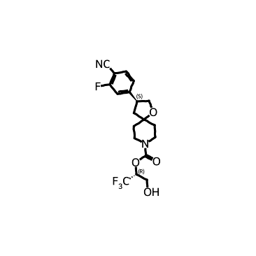 N#Cc1ccc([C@H]2COC3(CCN(C(=O)O[C@H](CO)C(F)(F)F)CC3)C2)cc1F